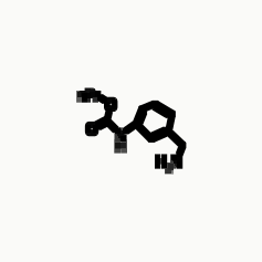 CCCOC(=O)Nc1cccc(CN)c1